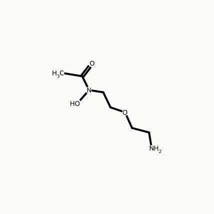 CC(=O)N(O)CCOCCN